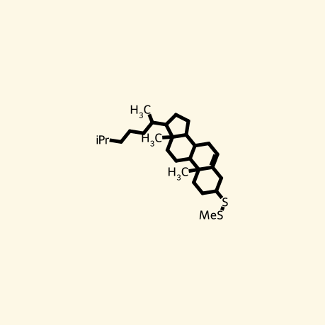 CSSC1CCC2(C)C(=CCC3C2CCC2(C)C(C(C)CCCC(C)C)CCC32)C1